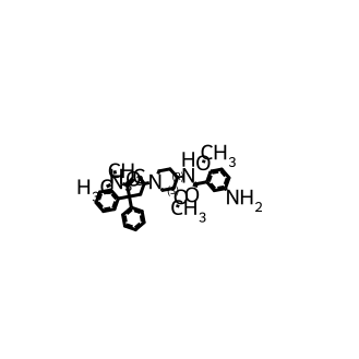 COc1ccc(N)cc1C(=O)N[C@@H]1CCN(C(C)CC(C(=O)N(C)C)(c2ccccc2)c2ccccc2)C[C@@H]1OC